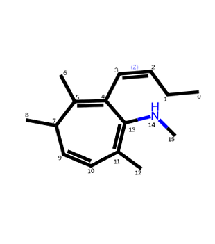 CC/C=C\C1=C(C)C(C)C=CC(C)=C1NC